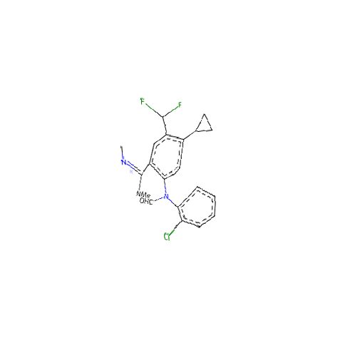 C/N=C(/NC)c1cc(C(F)F)c(C2CC2)cc1N(C=O)c1ccccc1Cl